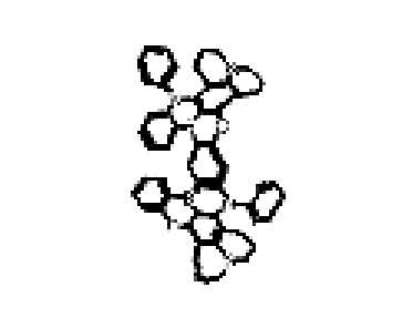 c1ccc(N2c3ccccc3B3c4cc5c(cc4Oc4c6c7c(c2c43)CCCN7CCC6)N(c2ccccc2)c2c3c4c(c6c2B5c2ccccc2O6)CCCN4CCC3)cc1